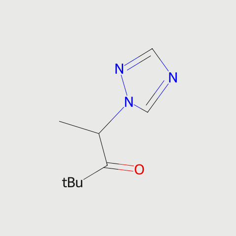 CC(C(=O)C(C)(C)C)n1cncn1